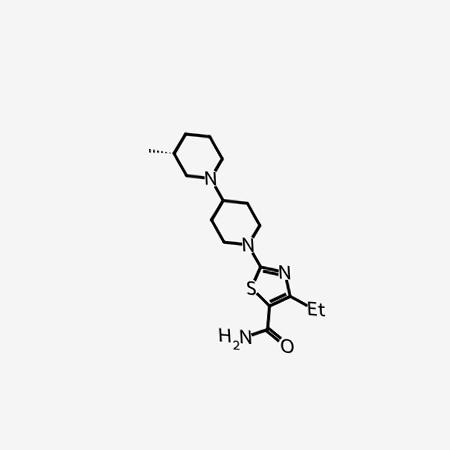 CCc1nc(N2CCC(N3CCC[C@@H](C)C3)CC2)sc1C(N)=O